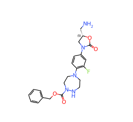 NC[C@H]1CN(c2ccc(N3CCNN(C(=O)OCc4ccccc4)CC3)c(F)c2)C(=O)O1